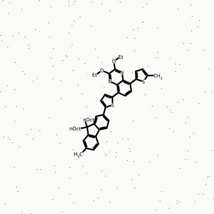 CCCCCCCCC1(CCCCCCCC)c2cc(C)ccc2-c2ccc(-c3ccc(-c4ccc(-c5ccc(C)s5)c5nc(OCC)c(OCC)nc45)s3)cc21